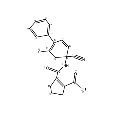 N#CC1(NC(=O)C2=C(C(=O)O)CCC2)C=CC(c2ccccc2)=C(Cl)C1